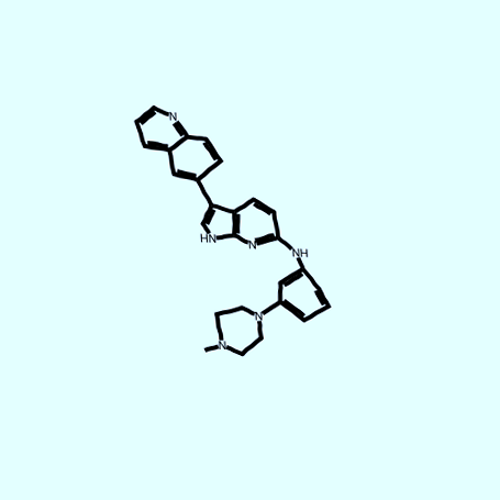 CN1CCN(c2cccc(Nc3ccc4c(-c5ccc6ncccc6c5)c[nH]c4n3)c2)CC1